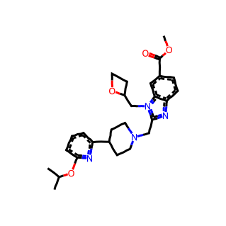 COC(=O)c1ccc2nc(CN3CCC(c4cccc(OC(C)C)n4)CC3)n(CC3CCO3)c2c1